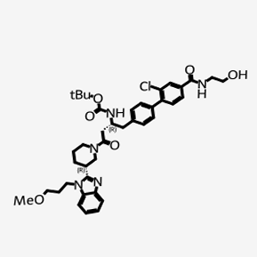 COCCCn1c([C@@H]2CCCN(C(=O)C[C@@H](Cc3ccc(-c4ccc(C(=O)NCCO)cc4Cl)cc3)NC(=O)OC(C)(C)C)C2)nc2ccccc21